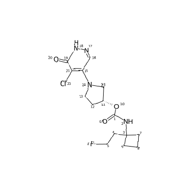 O=C(NC1(CCF)CCC1)O[C@@H]1CCN(c2cn[nH]c(=O)c2Cl)C1